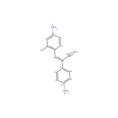 Cc1cc(N)ccc1/C=C(\C#N)c1ccc(N)cc1